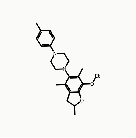 CCOc1c(C)c(N2CCN(c3ccc(C)cc3)CC2)c(C)c2c1OC(C)C2